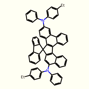 CCc1ccc(N(c2ccccc2)c2ccc3c4c(c5ccccc5c3c2)-c2c(cc(N(c3ccccc3)c3ccc(CC)cc3)c3ccccc23)C42c3ccccc3-c3ccccc32)cc1